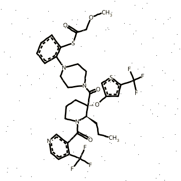 CCC[C@H]1N(C(=O)c2cnccc2C(F)(F)F)CCC[C@@]1(Oc1csc(C(F)(F)F)c1)C(=O)N1CCN(c2ccccc2SC(=O)COC)CC1